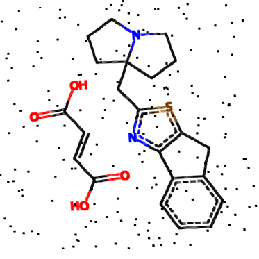 O=C(O)/C=C/C(=O)O.c1ccc2c(c1)Cc1sc(CC34CCCN3CCC4)nc1-2